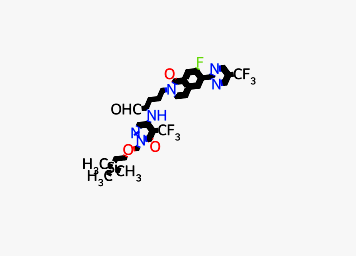 C[Si](C)(C)CCOCn1ncc(NC(C=O)CCCn2ccc3cc(-c4ncc(C(F)(F)F)cn4)c(F)cc3c2=O)c(C(F)(F)F)c1=O